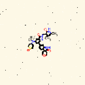 CCN(c1cc(-c2ccc3c(c2)NC(=O)C32CCOCC2)cc(C(=O)NCc2c(C)cc(C)[nH]c2=O)c1C)C1CC[S+]([O-])CC1